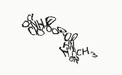 CC(C)(CNC(=O)COCC(=O)OCOC(=O)Cc1ccccc1Nc1c(Cl)cccc1Cl)SN=O